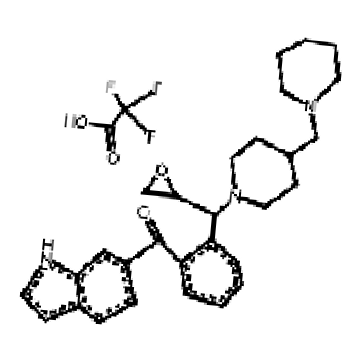 O=C(O)C(F)(F)F.O=C(c1ccc2cc[nH]c2c1)c1ccccc1C(C1CO1)N1CCC(CN2CCCCC2)CC1